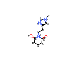 Cn1cnc(CCN2C(=O)CCCC2=O)c1